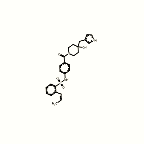 C/C=N\c1ccccc1S(=O)(=O)Nc1ccc(C(=O)N2CCC(O)(Cc3cn[nH]c3)CC2)cc1